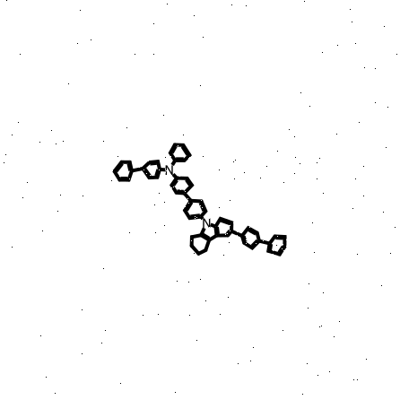 c1ccc(-c2ccc(-c3ccc4c(c3)c3c(n4-c4ccc(-c5ccc(N(c6ccccc6)c6ccc(-c7ccccc7)cc6)cc5)cc4)CCCC3)cc2)cc1